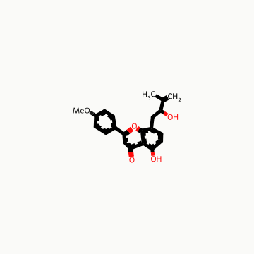 C=C(C)C(O)Cc1ccc(O)c2c(=O)cc(-c3ccc(OC)cc3)oc12